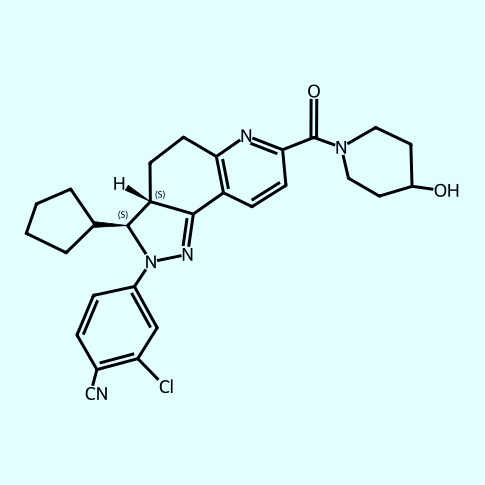 N#Cc1ccc(N2N=C3c4ccc(C(=O)N5CCC(O)CC5)nc4CC[C@H]3[C@@H]2C2CCCC2)cc1Cl